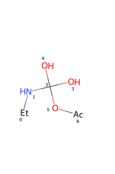 CCNC(O)(O)OC(C)=O